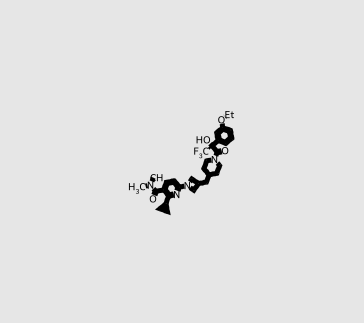 CCOc1cccc([C@@](O)(C(=O)N2CCC(CC3CN(c4ccc(C(=O)N(C)C)c(C5CC5)n4)C3)CC2)C(F)(F)F)c1